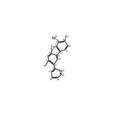 Cc1cc2oc3c(C#N)c(F)ccc3c2cc1-c1ccccn1